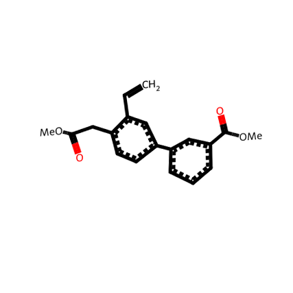 C=Cc1cc(-c2cccc(C(=O)OC)c2)ccc1CC(=O)OC